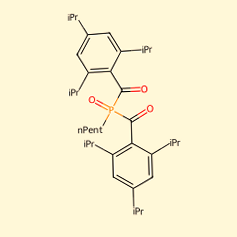 CCCCCP(=O)(C(=O)c1c(C(C)C)cc(C(C)C)cc1C(C)C)C(=O)c1c(C(C)C)cc(C(C)C)cc1C(C)C